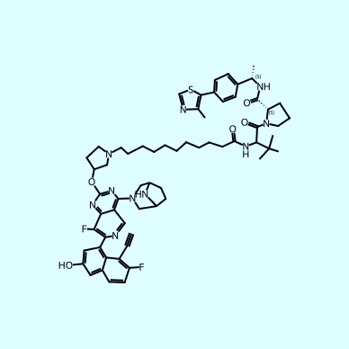 C#Cc1c(F)ccc2cc(O)cc(-c3ncc4c(N5CC6CCC(C5)N6)nc(OC5CCN(CCCCCCCCCCC(=O)NC(C(=O)N6CCC[C@H]6C(=O)N[C@@H](C)c6ccc(-c7scnc7C)cc6)C(C)(C)C)C5)nc4c3F)c12